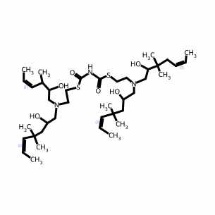 C/C=C\CC(C)(C)C(O)CN(CCSC(=O)NC(=O)SCCN(CC(O)CC(C)(C)/C=C\C)CC(O)C(C)/C=C\C)CC(O)CC(C)(C)/C=C\C